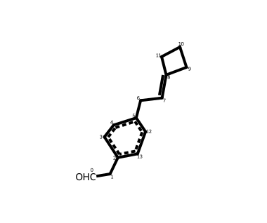 O=CCc1ccc(CC=C2CCC2)cc1